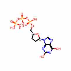 O=P(O)(O)OP(=O)(O)OP(=O)(O)OC[C@@H]1CC[C@H](n2cnc3c(O)nc(O)nc32)O1